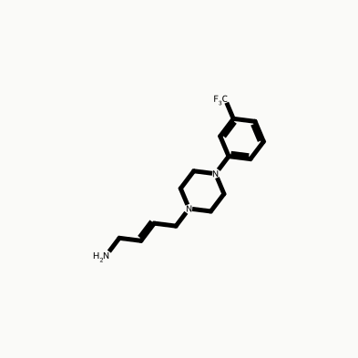 NC/C=C/CN1CCN(c2cccc(C(F)(F)F)c2)CC1